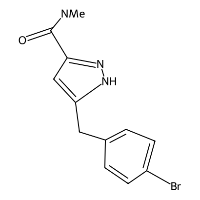 CNC(=O)c1cc(Cc2ccc(Br)cc2)[nH]n1